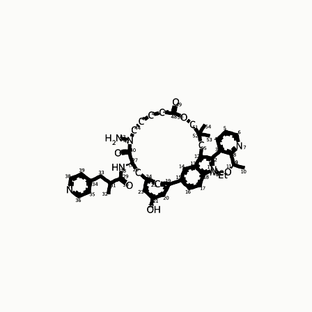 CCn1c(-c2cccnc2[C@H](C)OC)c2c3cc(ccc31)-c1cc(O)cc(c1)C[C@H](NC(=O)C(C)Cc1ccncc1)C(=O)N(N)CCCCC(=O)OCC(C)(C)C2